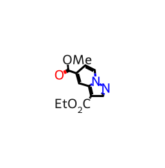 CCOC(=O)c1cnn2ccc(C(=O)OC)cc12